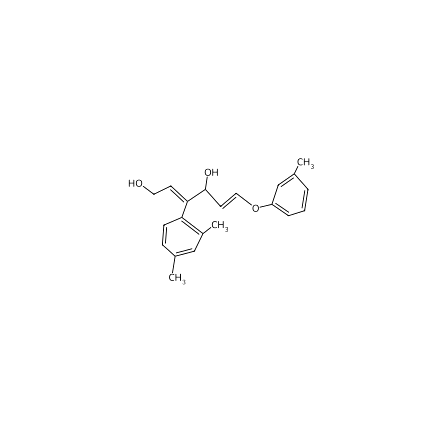 Cc1cccc(OC=CC(O)C(=CCO)c2ccc(C)cc2C)c1